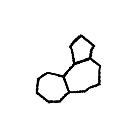 [CH]1CCC2CCCC3CCCCCC3C12